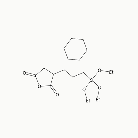 C1CCCCC1.CCO[Si](CCCC1CC(=O)OC1=O)(OCC)OCC